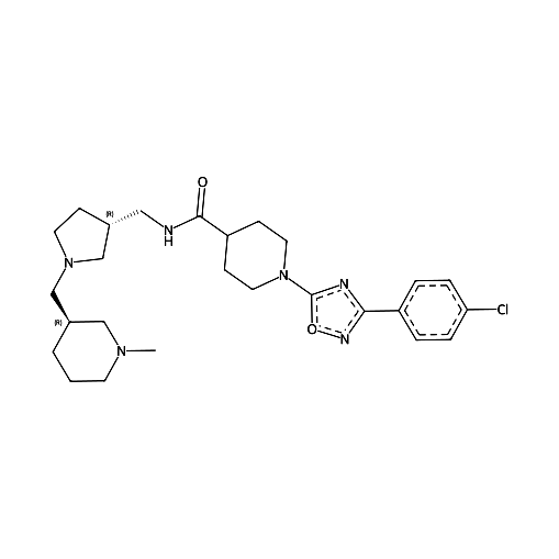 CN1CCC[C@@H](CN2CC[C@H](CNC(=O)C3CCN(c4nc(-c5ccc(Cl)cc5)no4)CC3)C2)C1